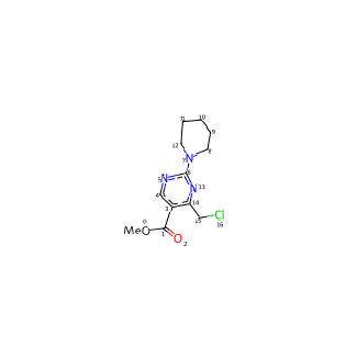 COC(=O)c1cnc(N2CCCCC2)nc1CCl